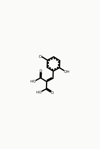 O=C(O)C(=Cc1cc(Cl)ccc1O)C(=O)O